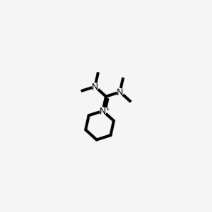 CN(C)C(N(C)C)=[N+]1CCCCC1